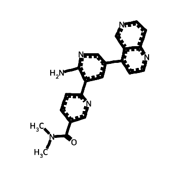 CN(C)C(=O)c1ccc(-c2cc(-c3ccnc4ccncc34)cnc2N)nc1